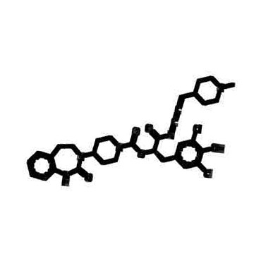 CN1CCC(C=C=C=NC(=O)[C@@H](Cc2cc(Cl)c(O)c(Cl)c2)OC(=O)N2CCC(N3CCc4ccccc4NC3=O)CC2)CC1